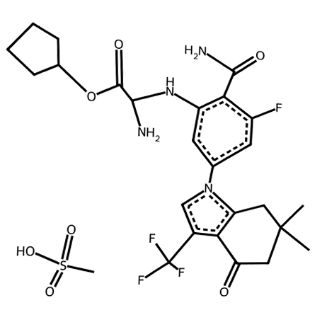 CC1(C)CC(=O)c2c(C(F)(F)F)cn(-c3cc(F)c(C(N)=O)c(NC(N)C(=O)OC4CCCC4)c3)c2C1.CS(=O)(=O)O